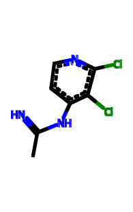 CC(=N)Nc1ccnc(Cl)c1Cl